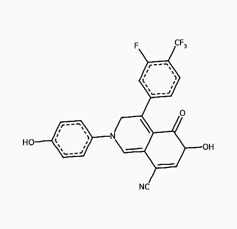 N#CC1=CC(O)C(=O)C2=C(c3ccc(C(F)(F)F)c(F)c3)CN(c3ccc(O)cc3)C=C12